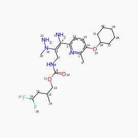 Cc1nc(/C(N)=C(\CNC(=O)OCC(C)CC(F)F)N(C)N)ccc1OC1CCCCC1